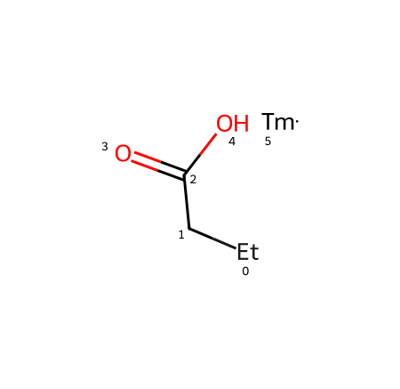 CCCC(=O)O.[Tm]